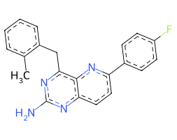 Cc1ccccc1Cc1nc(N)nc2ccc(-c3ccc(F)cc3)nc12